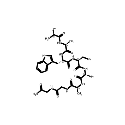 CC(C)C[C@H](NC(=O)[C@H](Cc1c[nH]c2ccccc12)NC(=O)[C@H](C)NC(=O)[C@@H](N)C(C)C)C(=O)N[C@H](C(=O)N[C@@H](C)C(=O)NCC(=O)NCC(N)=O)C(C)C